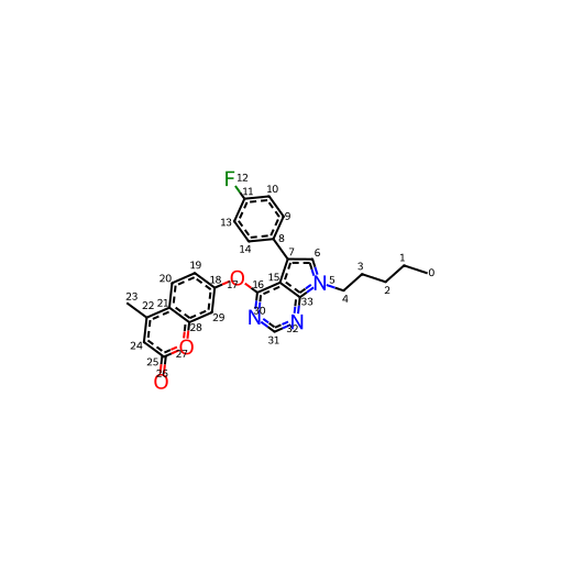 CCCCCn1cc(-c2ccc(F)cc2)c2c(Oc3ccc4c(C)cc(=O)oc4c3)ncnc21